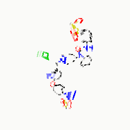 CS(=O)(=O)Nc1ccc(Oc2ccc(CN3CCC(N(C(=O)Nc4cccc(S(C)(=O)=O)c4)c4ccccc4)CC3)cn2)cc1.Cl